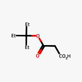 CCC(CC)(CC)OC(=O)CC(=O)O